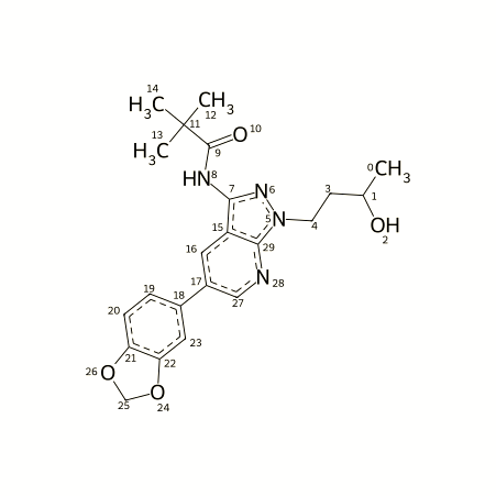 CC(O)CCn1nc(NC(=O)C(C)(C)C)c2cc(-c3ccc4c(c3)OCO4)cnc21